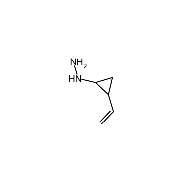 C=CC1CC1NN